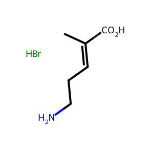 Br.CC(=CCCN)C(=O)O